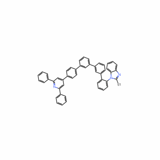 CCc1nc2ccccc2n1-c1ccccc1-c1cccc(-c2cccc(-c3ccc(-c4cc(-c5ccccc5)nc(-c5ccccc5)c4)cc3)c2)c1